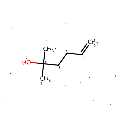 C=CCCC(C)(C)O